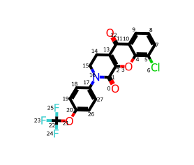 O=C1c2oc3c(Cl)cccc3c(=O)c2CCN1c1ccc(OC(F)(F)F)cc1